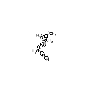 COc1cc(C)c(S(=O)(=O)Cc2noc(CC(=O)N(C)C3CCN(c4ccncc4F)CC3)n2)c(C)c1